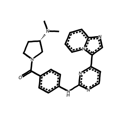 CN(C)[C@H]1CCN(C(=O)c2ccc(Nc3nccc(-c4cnc5ccccn45)n3)cc2)C1